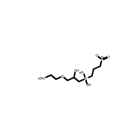 CCCCCCCCCCCCOCC(O)C[N+](CCC)(CCC)CCC[PH](=O)[O-]